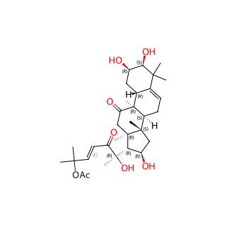 CC(=O)OC(C)(C)/C=C/C(=O)[C@](C)(O)[C@H]1[C@H](O)C[C@@]2(C)[C@@H]3CC=C4[C@@H](C[C@@H](O)[C@@H](O)C4(C)C)[C@]3(C)C(=O)C[C@]12C